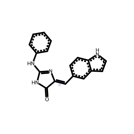 O=C1NC(Nc2ccccc2)=N/C1=C\c1ccc2[nH]ccc2c1